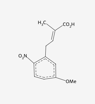 COc1ccc([N+](=O)[O-])c(CC=C(C)C(=O)O)c1